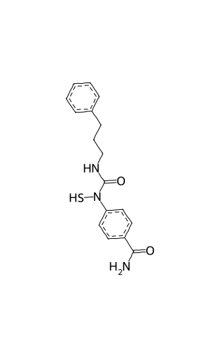 NC(=O)c1ccc(N(S)C(=O)NCCCc2ccccc2)cc1